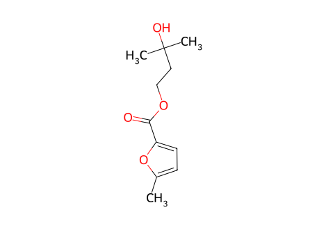 Cc1ccc(C(=O)OCCC(C)(C)O)o1